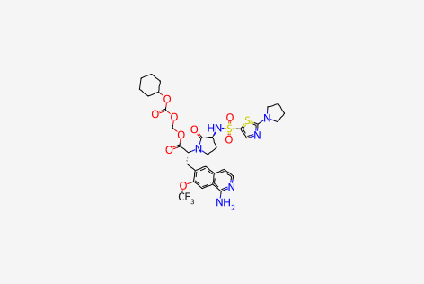 Nc1nccc2cc(C[C@H](C(=O)OCOC(=O)OC3CCCCC3)N3CC[C@H](NS(=O)(=O)c4cnc(N5CCCC5)s4)C3=O)c(OC(F)(F)F)cc12